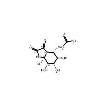 CCCC(=O)OC[C@@H]1[C@@H](O)[C@H](O)[C@H](O)[C@H]2NC(=O)C(=O)N12